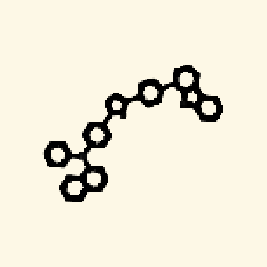 c1ccc(N(c2ccc(-c3ccc(-c4ccc(-c5cccc6c5oc5ccccc56)cc4)s3)cc2)c2cccc3ccccc23)cc1